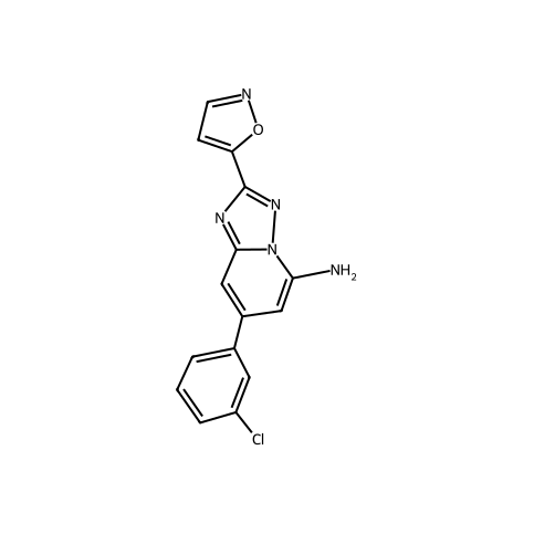 Nc1cc(-c2cccc(Cl)c2)cc2nc(-c3ccno3)nn12